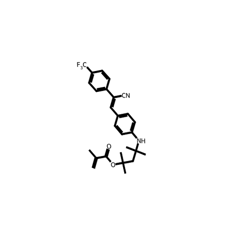 C=C(C)C(=O)OC(C)(C)CC(C)(C)Nc1ccc(/C=C(\C#N)c2ccc(C(F)(F)F)cc2)cc1